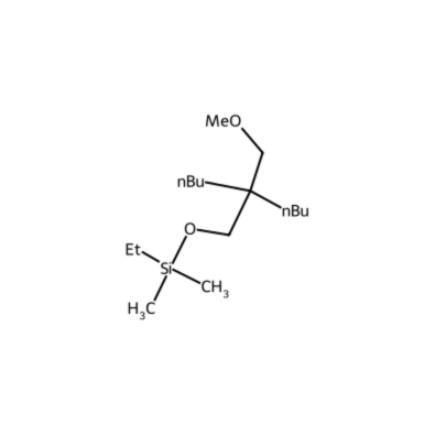 CCCCC(CCCC)(COC)CO[Si](C)(C)CC